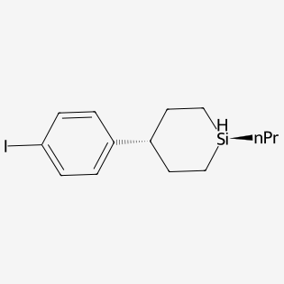 CCC[Si@H]1CC[C@H](c2ccc(I)cc2)CC1